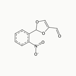 O=CC1=COC(c2ccccc2[N+](=O)[O-])O1